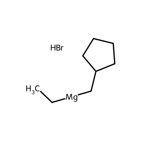 Br.C[CH2][Mg][CH2]C1CCCC1